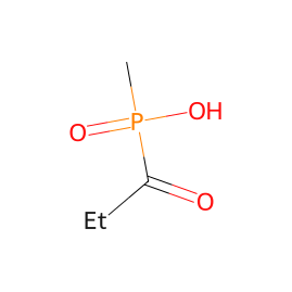 CCC(=O)P(C)(=O)O